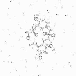 COc1cc(OC)c(C=CS(=O)(=O)Cc2ccc(OC)c(OC(=O)CCl)c2)c(OC)c1